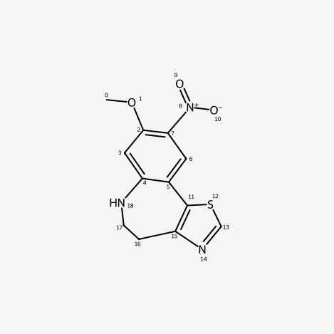 COc1cc2c(cc1[N+](=O)[O-])-c1scnc1CCN2